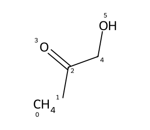 C.CC(=O)CO